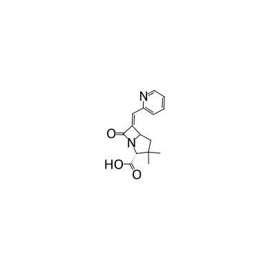 CC1(C)CC2/C(=C\c3ccccn3)C(=O)N2[C@H]1C(=O)O